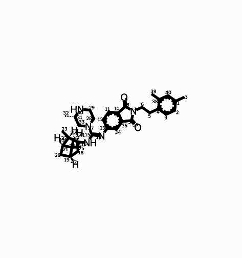 Cc1ccc(CCN2C(=O)c3ccc(N=C(N[C@H]4C[C@@H]5C[C@@H]([C@H]4C)C5(C)C)N4CCN[C@@H](C)C4)cc3C2=O)c(C)c1